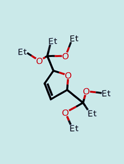 CCOC(CC)(OCC)C1C=CC(C(CC)(OCC)OCC)O1